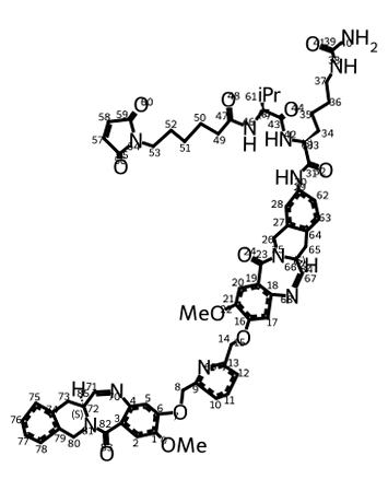 COc1cc2c(cc1OCc1cccc(COc3cc4c(cc3OC)C(=O)N3Cc5cc(NC(=O)[C@H](CCCCNC(N)=O)NC(=O)[C@@H](NC(=O)CCCCCN6C(=O)C=CC6=O)C(C)C)ccc5C[C@H]3C=N4)n1)N=C[C@@H]1Cc3ccccc3CN1C2=O